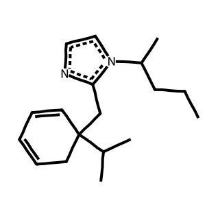 CCCC(C)n1ccnc1CC1(C(C)C)C=CC=CC1